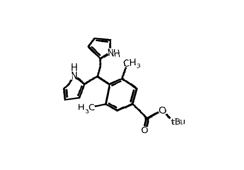 Cc1cc(C(=O)OC(C)(C)C)cc(C)c1C(c1ccc[nH]1)c1ccc[nH]1